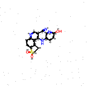 N#Cc1cnc2ccc3c(c2c1Nc1ccc(O)nc1)CCS3(=O)=O